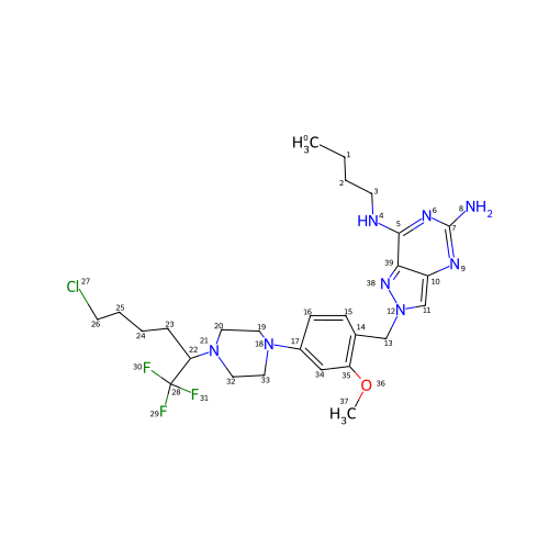 CCCCNc1nc(N)nc2cn(Cc3ccc(N4CCN(C(CCCCCl)C(F)(F)F)CC4)cc3OC)nc12